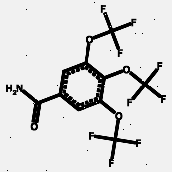 NC(=O)c1cc(OC(F)(F)F)c(OC(F)(F)F)c(OC(F)(F)F)c1